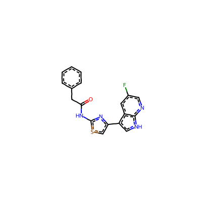 O=C(Cc1ccccc1)Nc1nc(-c2c[nH]c3ncc(F)cc23)cs1